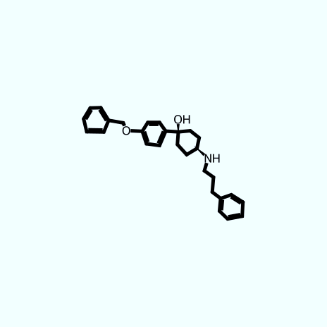 O[C@]1(c2ccc(OCc3ccccc3)cc2)CC[C@H](NCCCc2ccccc2)CC1